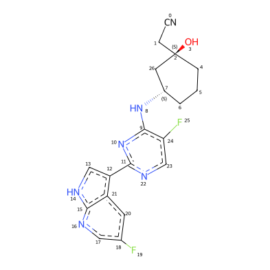 N#CC[C@]1(O)CCC[C@H](Nc2nc(-c3c[nH]c4ncc(F)cc34)ncc2F)C1